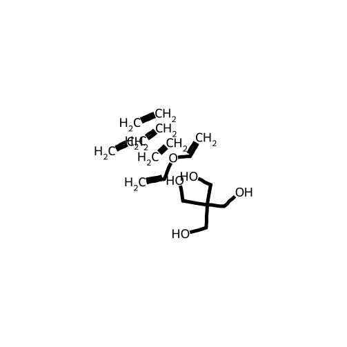 C=C.C=C.C=C.C=C.C=COC=C.OCC(CO)(CO)CO